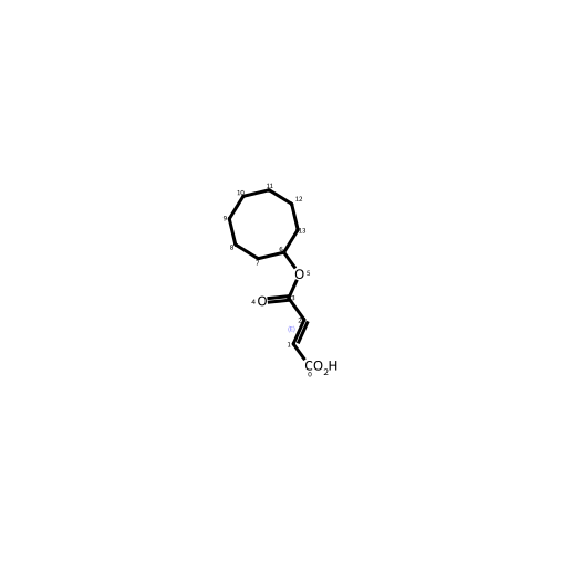 O=C(O)/C=C/C(=O)OC1CCCCCCC1